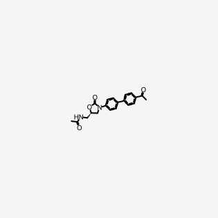 CC(=O)NC[C@@H]1CN(c2ccc(-c3ccc(C(C)=O)cc3)cc2)C(=O)O1